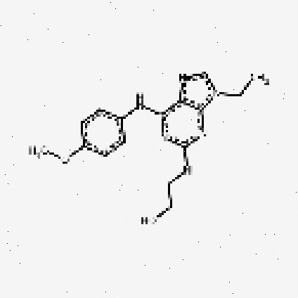 CCn1cnc2c(Nc3ccc(OC)cc3)nc(NCCO)nc21